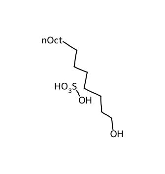 CCCCCCCCCCCCCCCO.O=S(=O)(O)O